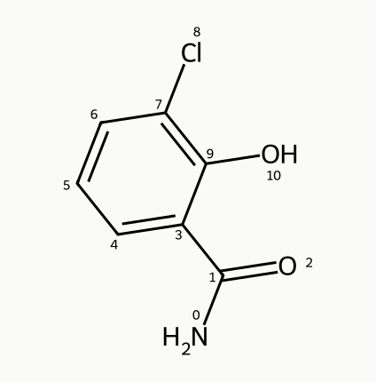 NC(=O)c1cccc(Cl)c1O